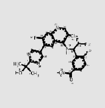 CC(C)(O)c1ncc(-c2cc3c(NC(c4cc(C(N)=O)ccc4F)C(F)F)c(Cl)cnc3cc2F)cn1